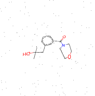 [CH2]C(C)(O)Cc1cccc(C(=O)N2CCOCC2)c1